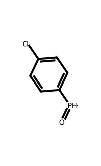 O=[PH]c1ccc(Cl)cc1